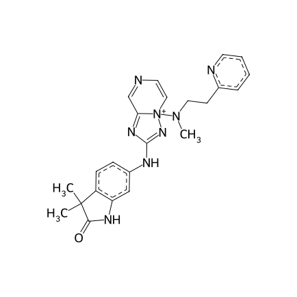 CN(CCc1ccccn1)[N+]12C=CN=CC1=NC(Nc1ccc3c(c1)NC(=O)C3(C)C)=N2